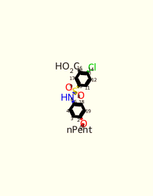 CCCCCOc1ccc(NS(=O)(=O)c2ccc(Cl)c(C(=O)O)c2)cc1